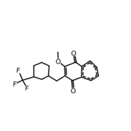 COC1=C(CC2CCCC(C(F)(F)F)C2)C(=O)c2ccccc2C1=O